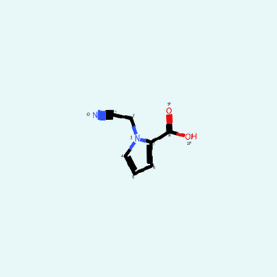 N#CCn1cccc1C(=O)O